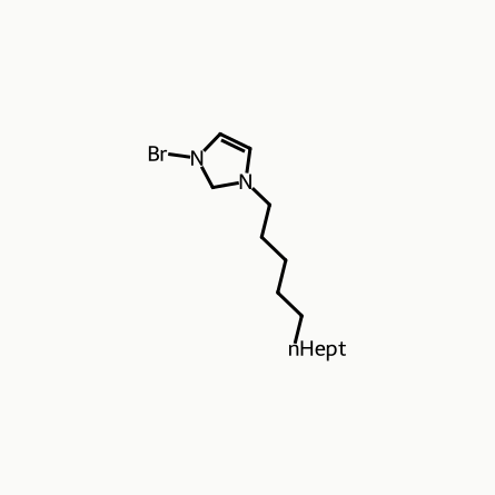 CCCCCCCCCCCCN1C=CN(Br)C1